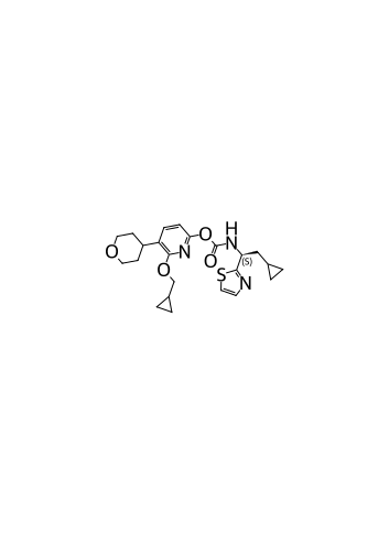 O=C(N[C@@H](CC1CC1)c1nccs1)Oc1ccc(C2CCOCC2)c(OCC2CC2)n1